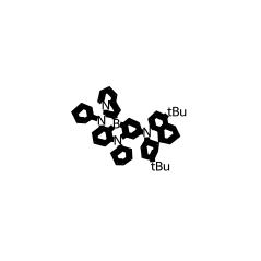 CC(C)(C)c1ccc(N(c2ccc3c(c2)N(c2ccccc2)c2cccc4c2B3c2cc3ccccn3c2N4c2ccccc2)c2ccc(C(C)(C)C)c3ccccc23)cc1